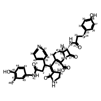 O=C(CC(C(=C1CCNC1=O)C1=C(C(=O)O)N2C(=O)[C@@H](NC(=O)CSc3ccc(O)cc3)[C@H]2SC1)c1ccncc1)Nc1ccc(O)c(F)c1